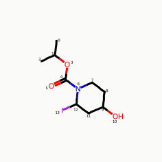 CC(C)OC(=O)N1CCC(O)CC1I